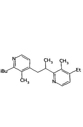 CCc1ccnc(C(C)Cc2ccnc(C(C)CC)c2C)c1C